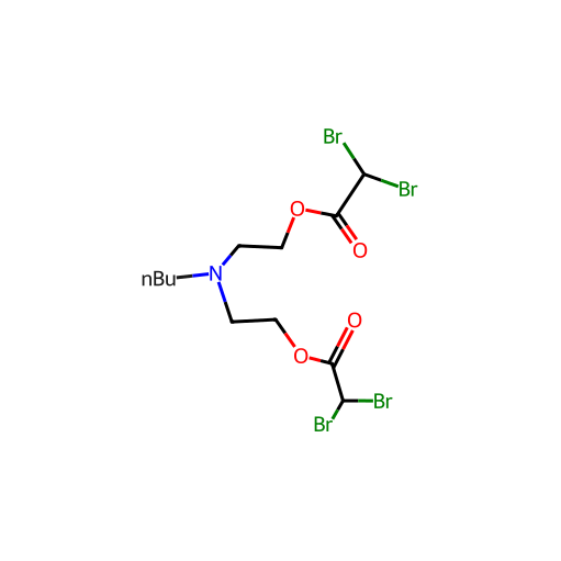 CCCCN(CCOC(=O)C(Br)Br)CCOC(=O)C(Br)Br